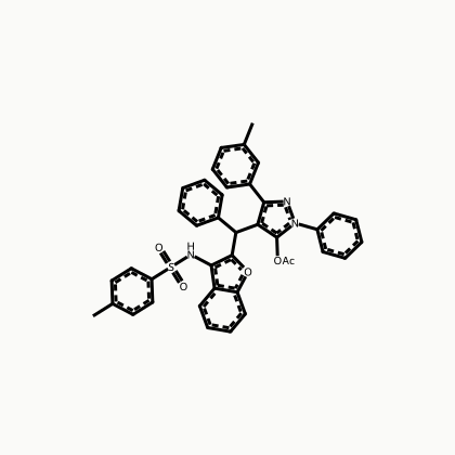 CC(=O)Oc1c(C(c2ccccc2)c2oc3ccccc3c2NS(=O)(=O)c2ccc(C)cc2)c(-c2cccc(C)c2)nn1-c1ccccc1